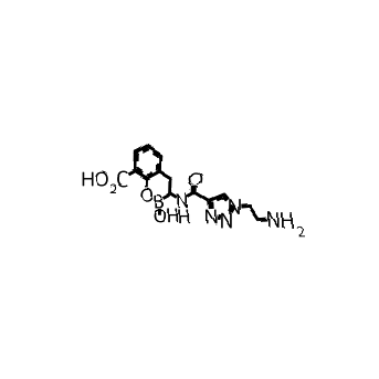 NCCn1cc(C(=O)NC2Cc3cccc(C(=O)O)c3OB2O)nn1